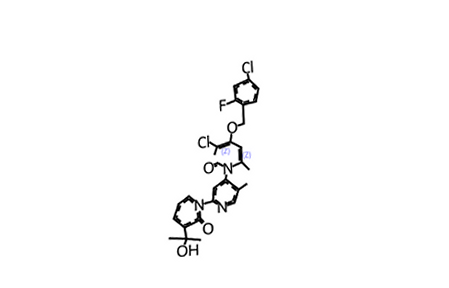 C/C(=C/C(OCc1ccc(Cl)cc1F)=C(\C)Cl)N(C=O)c1cc(-n2cccc(C(C)(C)O)c2=O)ncc1C